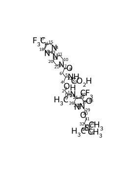 C[C@@H](COCC(CC(=O)N1CCN(c2ncc(C(F)(F)F)cn2)CC1)NC(=O)O)Nc1cnn(COCC[Si](C)(C)C)c(=O)c1C(F)(F)F